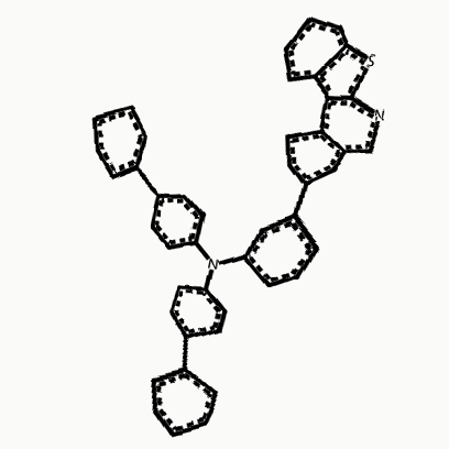 c1ccc(-c2ccc(N(c3ccc(-c4ccccc4)cc3)c3cccc(-c4ccc5c(cnc6sc7ccccc7c65)c4)c3)cc2)cc1